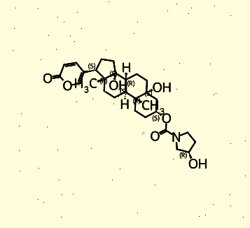 C[C@]12CC[C@H](OC(=O)N3CC[C@@H](O)C3)C[C@@]1(O)CC[C@@H]1[C@@H]2CC[C@]2(C)[C@@H](c3ccc(=O)oc3)CC[C@]12O